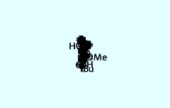 COC(=O)c1cc(NC(=O)C(C)(C)C)cnc1N1CCC(C(O)(c2ccccc2)c2ccccc2)CC1